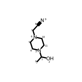 [CH2]C(O)N1CCN(CC#N)CC1